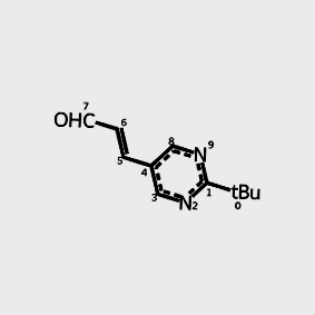 CC(C)(C)c1ncc(C=CC=O)cn1